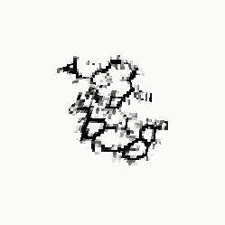 C=CC[C@@H](C)[C@@H](CC1CC1)S(=O)(=O)NC(=O)c1ccc2c(c1)N(C[C@@H]1CC[C@H]1[C@@H](O)C=CCCC)C[C@]1(CCCc3cc(Cl)ccc31)CO2